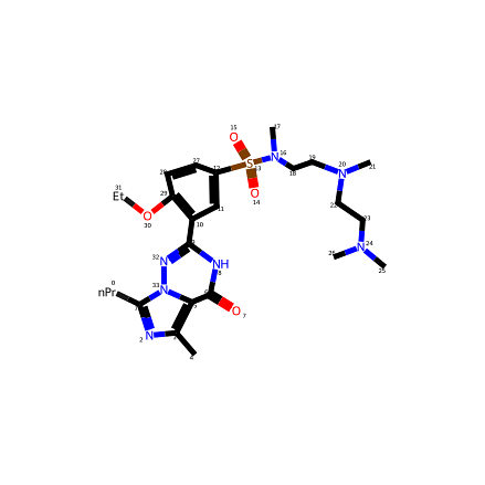 CCCc1nc(C)c2c(=O)[nH]c(-c3cc(S(=O)(=O)N(C)CCN(C)CCN(C)C)ccc3OCC)nn12